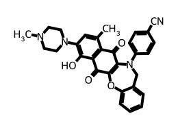 Cc1cc(N2CCN(C)CC2)c(O)c2c1C(=O)C1=C(Oc3ccccc3CN1c1ccc(C#N)cc1)C2=O